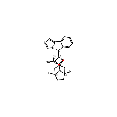 CC(C)(C)OC(=O)N1[C@@H]2CC[C@H]1CC1(C[C@H]([C@H]3c4ccccc4-c4cncn43)[C@@H]1O)C2